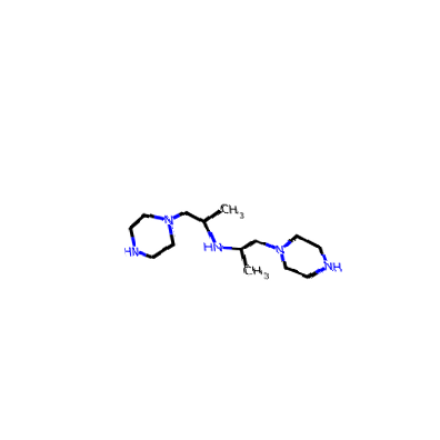 CC(CN1CCNCC1)NC(C)CN1CCNCC1